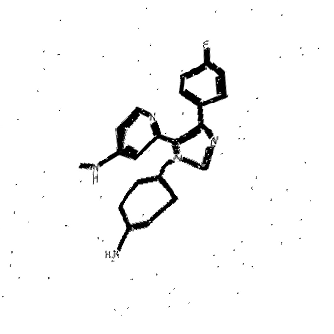 CNc1ccnc(-c2c(-c3ccc(F)cc3)ncn2C2CCC(N)CC2)c1